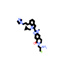 Cn1c(-c2cc3cccc(/C=C/Cn4ccnc4)c3n2CC2CC2)nc2cc3c(cc21)CCN(C[C@H](N)CF)C3=O